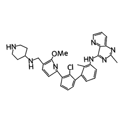 COc1nc(-c2cccc(-c3cccc(Nc4nc(C)nc5cccnc45)c3C)c2Cl)ccc1CNC1CCNCC1